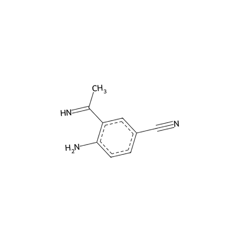 CC(=N)c1cc(C#N)ccc1N